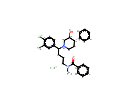 CN(CCCC(c1ccc(Cl)c(Cl)c1)N1CC[C@@H](c2ccccc2)[C@H](O)C1)C(=O)c1ccccc1.Cl